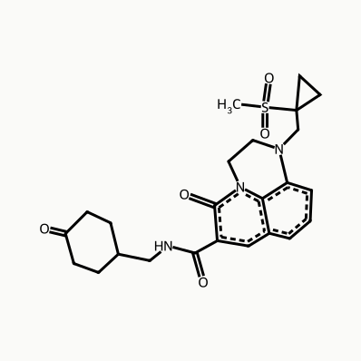 CS(=O)(=O)C1(CN2CCn3c(=O)c(C(=O)NCC4CCC(=O)CC4)cc4cccc2c43)CC1